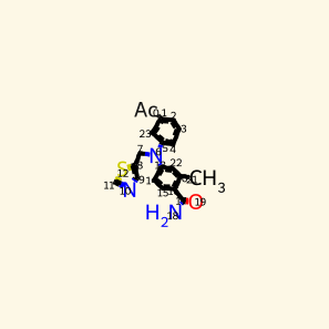 CC(=O)c1cccc(N(Cc2cncs2)c2ccc(C(N)=O)c(C)c2)c1